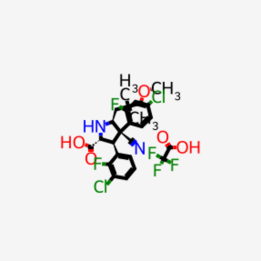 COCC(C)(C)C[C@@H]1N[C@@H](C(=O)O)[C@H](c2cccc(Cl)c2F)[C@@]1(C#N)c1ccc(Cl)cc1F.O=C(O)C(F)(F)F